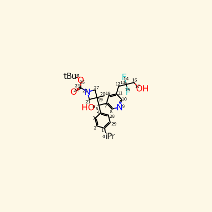 CC(C)c1ccc([C@](O)(c2cncc(CC(F)(F)CO)c2)C2(C)CN(C(=O)OC(C)(C)C)C2)cc1